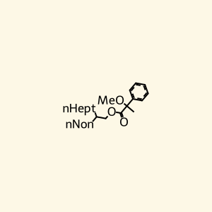 CCCCCCCCCC(CCCCCCC)COC(=O)C(C)(OC)c1ccccc1